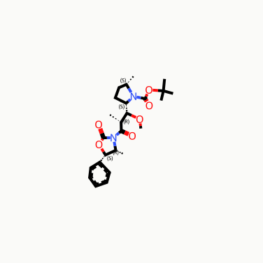 COC([C@@H](C)C(=O)N1C(=O)O[C@@H](c2ccccc2)[C@H]1C)[C@@H]1CC[C@H](C)N1C(=O)OC(C)(C)C